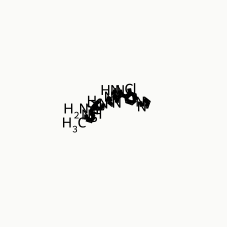 Cc1csc([C@]2(CN)[C@@H]3CN(c4cnc5c(-c6ccc(-n7cccn7)cc6Cl)n[nH]c5n4)C[C@@H]32)n1